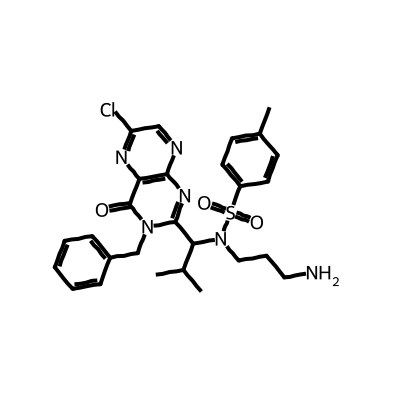 Cc1ccc(S(=O)(=O)N(CCCN)C(c2nc3ncc(Cl)nc3c(=O)n2Cc2ccccc2)C(C)C)cc1